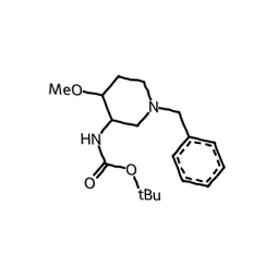 COC1CCN(Cc2ccccc2)CC1NC(=O)OC(C)(C)C